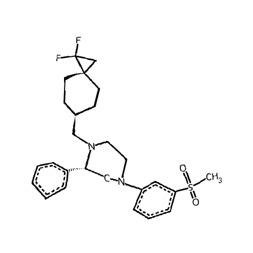 CS(=O)(=O)c1cccc(N2CCN(C[C@H]3CC[C@]4(CC3)CC4(F)F)[C@@H](c3ccccc3)C2)c1